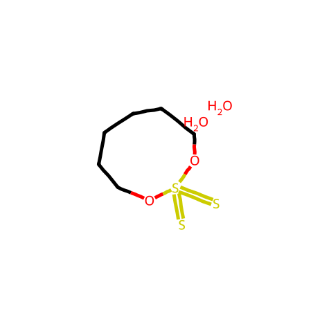 O.O.S=S1(=S)OCCCCCCO1